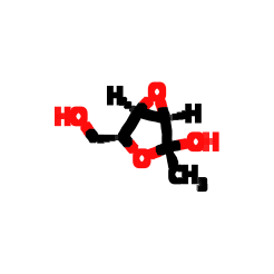 C[C@@]1(O)O[C@H](CO)[C@H]2O[C@H]21